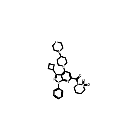 O=C(c1cc(N2CCC(N3CCOCC3)CC2)c2c(C3CCC3)nn(-c3ccccc3)c2n1)N1CCCCS1(=O)=O